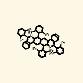 CC(C)c1cccc(C(C)C)c1-c1nc2c(-c3c(C(C)C)cccc3C(C)C)c3cc4c5c(c(-c6c(C(C)C)cccc6C(C)C)nc4c(-c4c(C(C)C)cccc4C(C)C)c3cc2c2c1C1CCC2CC1)C1CCC5CC1